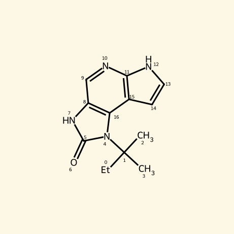 CCC(C)(C)n1c(=O)[nH]c2cnc3[nH]ccc3c21